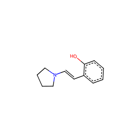 Oc1ccccc1C=CN1CCCC1